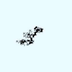 CC(C)(C)[S@@+]([O-])N[C@H](CCCCCC1(c2ncco2)OCCO1)c1ncc(Br)n1COCC[Si](C)(C)C